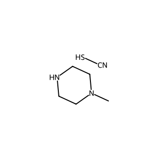 CN1CCNCC1.N#CS